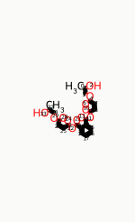 CC(O)COC(=O)/C=C\C(=O)OC(=O)c1ccccc1C(=O)OC(=O)/C=C\C(=O)OCC(C)O